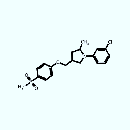 CC1CC(COc2ccc(S(C)(=O)=O)cc2)CN1c1cccc(Cl)c1